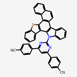 N#Cc1ccc(-c2cc(-c3ccc(C#N)cc3)nc(-n3c4ccccc4c4c5ccc6ccccc6c5c5sc6ccccc6c5c43)n2)cc1